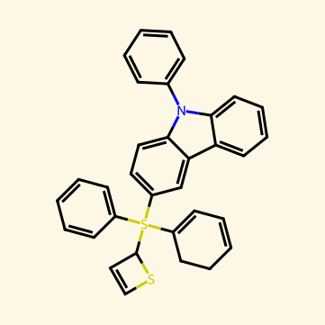 C1=CCCC(S(c2ccccc2)(c2ccc3c(c2)c2ccccc2n3-c2ccccc2)C2C=CS2)=C1